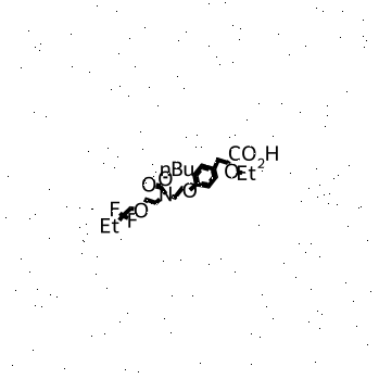 CCCCOC(=O)N(CCOCC(F)(F)CC)CCOc1ccc(CC(OCC)C(=O)O)cc1